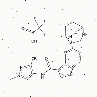 Cn1cc(NC(=O)c2cnn3ccc(N4CC5CCC4CCN5)nc23)c(C(F)(F)F)n1.O=C(O)C(F)(F)F